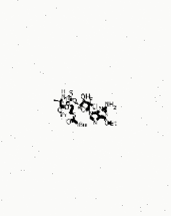 CCOc1nc(N)nc2c1ncn2[C@@H]1O[C@H](CO[P@@](=S)(N[C@H](C)C(=O)OC(C)C)OCCSC(=O)C(C)(C)C)[C@@H](O)[C@@]1(F)Cl